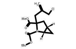 C=C(CCl)CC1(C(=O)OC)C[C@@H]2C[C@@H]2N1C(=O)OC(C)(C)C